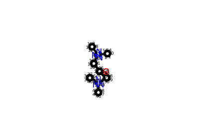 c1ccc(-c2nc(-c3ccccc3)nc(-c3cccc(-c4ccc5c(c4)oc4cccc(-c6nc(-c7ccccc7)nc(-c7ccccc7)n6)c45)c3)n2)cc1